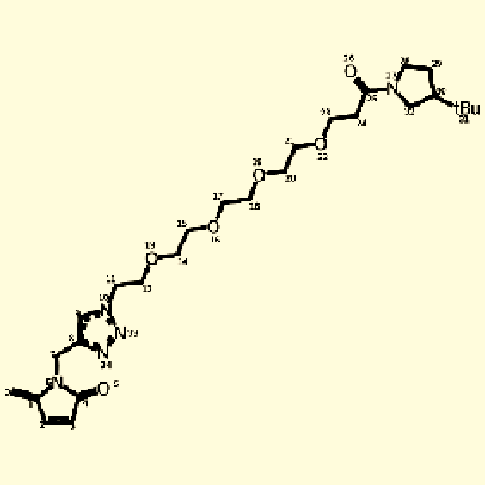 C=C1C=CC(=O)N1Cc1cn(CCOCCOCCOCCOCCC(=O)N2CCC(C(C)(C)C)C2)nn1